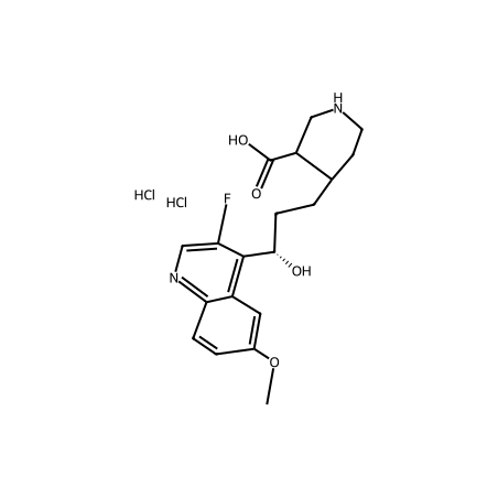 COc1ccc2ncc(F)c([C@@H](O)CCC3CCNCC3C(=O)O)c2c1.Cl.Cl